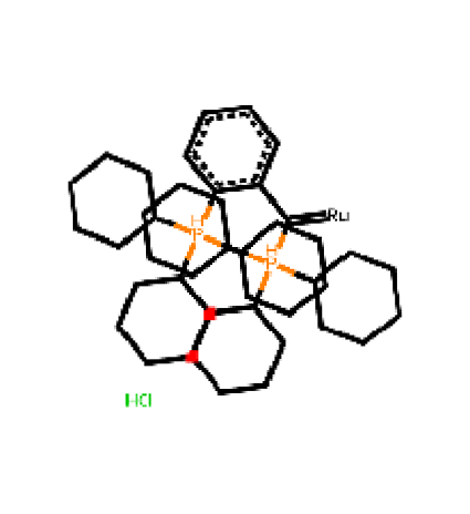 Cl.[Ru]=[C](c1ccccc1[PH](C1CCCCC1)(C1CCCCC1)C1CCCCC1)[PH](C1CCCCC1)(C1CCCCC1)C1CCCCC1